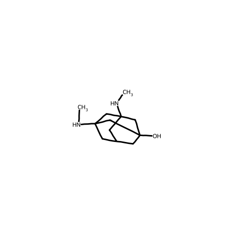 CNC12CC3CC(O)(C1)CC(NC)(C3)C2